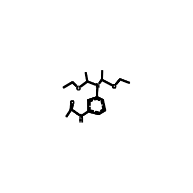 CCOC(C)N(c1cccc(NC(C)=O)c1)C(C)OCC